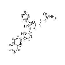 NC(=O)CCCCC[C@H](NC(=O)c1cncs1)c1ncc(-c2ccc3ccccc3n2)[nH]1